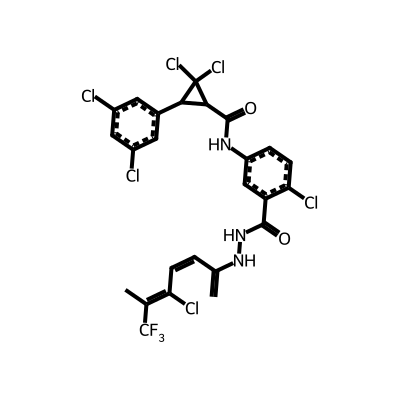 C=C(/C=C\C(Cl)=C(/C)C(F)(F)F)NNC(=O)c1cc(NC(=O)C2C(c3cc(Cl)cc(Cl)c3)C2(Cl)Cl)ccc1Cl